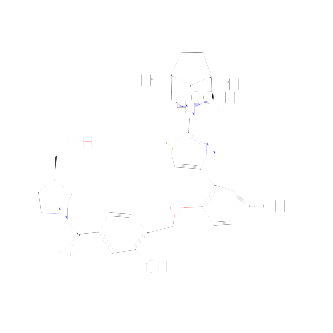 Cc1ccc(OCc2ccc(C(=O)N3CC[C@@H](CO)C3)cc2C)c(-c2csc(N3C[C@H]4CC[C@@H](C3)[C@H]4C(=O)O)n2)c1